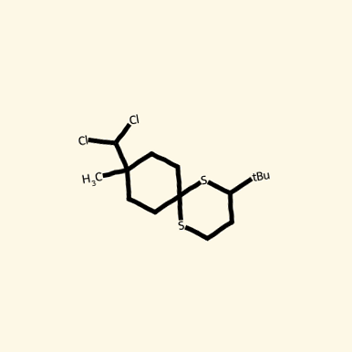 CC(C)(C)C1CCSC2(CCC(C)(C(Cl)Cl)CC2)S1